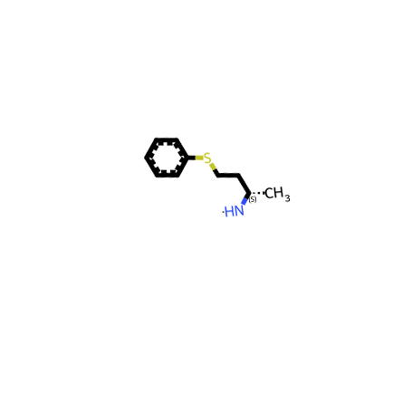 C[C@H]([NH])CCSc1ccccc1